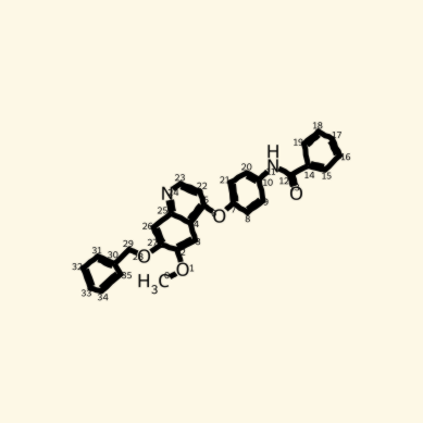 COc1cc2c(Oc3ccc(NC(=O)c4ccccc4)cc3)ccnc2cc1OCc1ccccc1